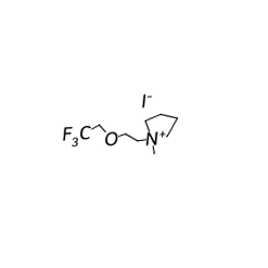 C[N+]1(CCOCC(F)(F)F)CCCC1.[I-]